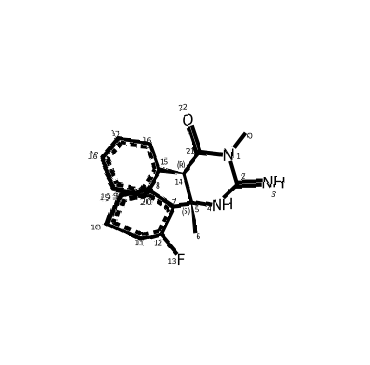 CN1C(=N)N[C@](C)(c2ccccc2F)[C@@H](c2ccccc2)C1=O